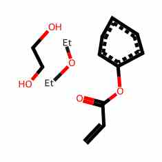 C=CC(=O)Oc1ccccc1.CCOCC.OCCO